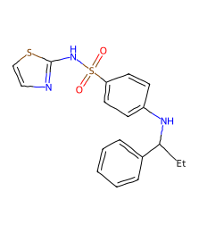 CCC(Nc1ccc(S(=O)(=O)Nc2nccs2)cc1)c1ccccc1